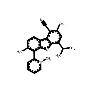 Cc1ccc2c(oc3c(C(C)C)cc(C)c(C#N)c32)c1-c1cccc[n+]1C